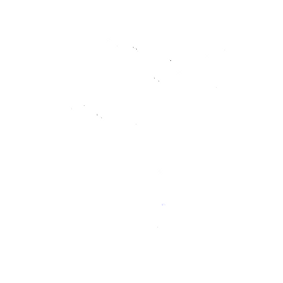 Cc1cccc(C)c1-c1cc2nc(n1)NS(=O)(=O)c1cccc(c1)C(=O)NCC(c1ccc(/C=C/C(C)(C)C)cc1)O2